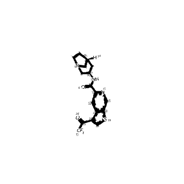 O=C(N[C@@H]1C[C@H]2CCN(C2)C1)c1cc2c(C(=O)C(F)(F)F)csc2cn1